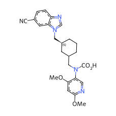 COc1cc(OC)c(N(CC2CCC[C@H](Cn3cnc4ccc(C#N)cc43)C2)C(=O)O)cn1